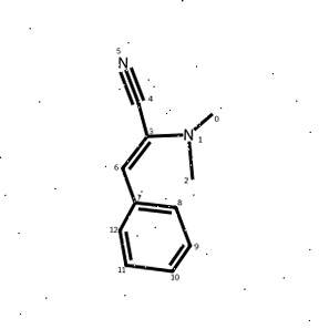 CN(C)C(C#N)=Cc1ccccc1